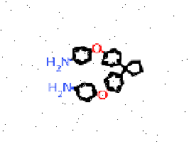 Nc1ccc(Oc2ccc(C3(c4ccc(Oc5ccc(N)cc5)cc4)CCCC3)cc2)cc1